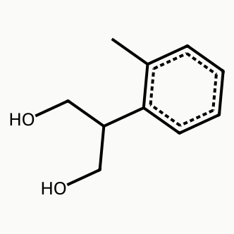 Cc1ccccc1C(CO)CO